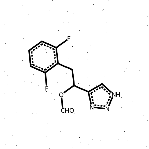 O=COC(Cc1c(F)cccc1F)c1c[nH]nn1